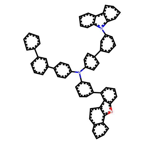 c1ccc(-c2cccc(-c3ccc(N(c4ccc(-c5cccc(-n6c7ccccc7c7ccccc76)c5)cc4)c4cccc(-c5cccc6oc7c8ccccc8ccc7c56)c4)cc3)c2)cc1